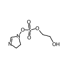 O=S(=O)(OCCO)ON1C=NCC1